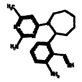 Cc1cc(N2CCCCCC2c2cccc(N)c2C=N)nc(N)n1